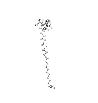 CCCCCCCCCCC=CCCCCCCCCCCC(CC)(P(=O)=O)[N+](C)(C)C